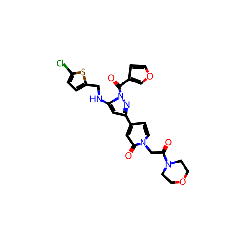 O=C(Cn1ccc(-c2cc(NCc3ccc(Cl)s3)n(C(=O)c3ccoc3)n2)cc1=O)N1CCOCC1